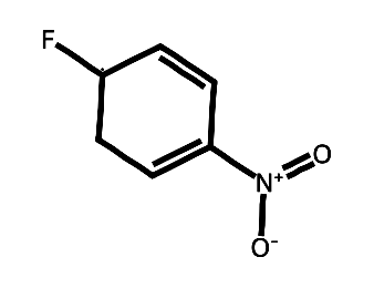 O=[N+]([O-])C1=CC[C](F)C=C1